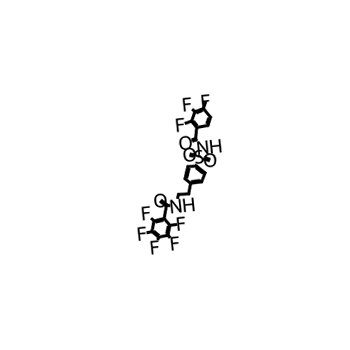 O=C(NS(=O)(=O)c1ccc(CCNC(=O)c2c(F)c(F)c(F)c(F)c2F)cc1)c1ccc(F)c(F)c1F